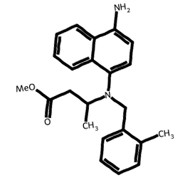 COC(=O)CC(C)N(Cc1ccccc1C)c1ccc(N)c2ccccc12